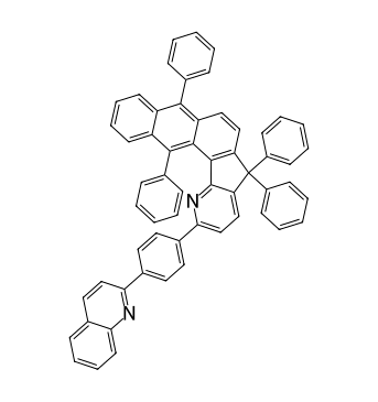 c1ccc(-c2c3ccccc3c(-c3ccccc3)c3c4c(ccc23)C(c2ccccc2)(c2ccccc2)c2ccc(-c3ccc(-c5ccc6ccccc6n5)cc3)nc2-4)cc1